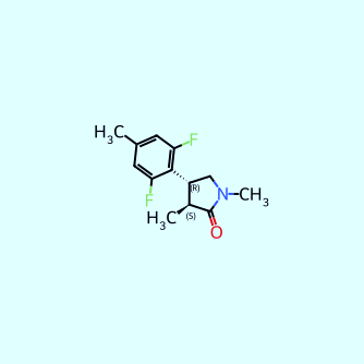 Cc1cc(F)c([C@@H]2CN(C)C(=O)[C@H]2C)c(F)c1